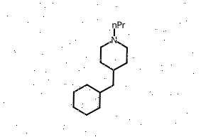 [CH2]CCN1CCC(CC2CCCCC2)CC1